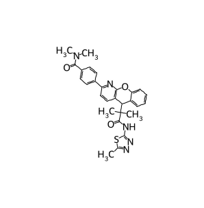 Cc1nnc(NC(=O)C(C)(C)C2c3ccccc3Oc3nc(-c4ccc(C(=O)N(C)C)cc4)ccc32)s1